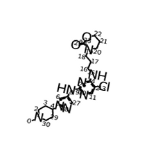 CN1CCC(n2cc(Nc3ncc(Cl)c(NCCCN4CCCOC4=O)n3)cn2)CC1